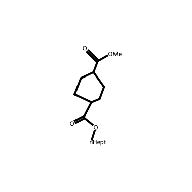 CCCCCCCOC(=O)C1CCC(C(=O)OC)CC1